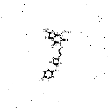 CCCCCn1c(=O)n(CCCc2nc(Cc3ccc(Cl)cc3)no2)c(=O)c2[nH]c(Cl)nc21